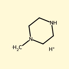 [CH2]N1CCNCC1.[H+]